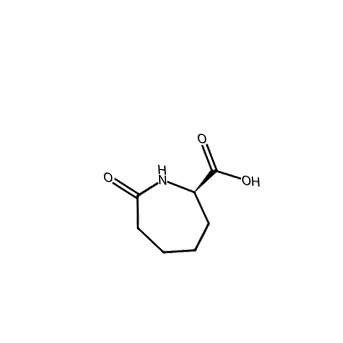 O=C1CCCC[C@H](C(=O)O)N1